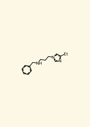 CCc1cn(CCCNCc2ccccc2)cn1